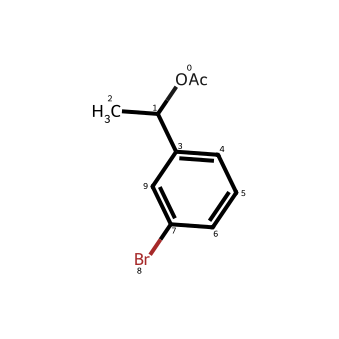 CC(=O)OC(C)c1cccc(Br)c1